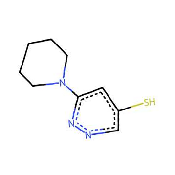 Sc1cnnc(N2CCCCC2)c1